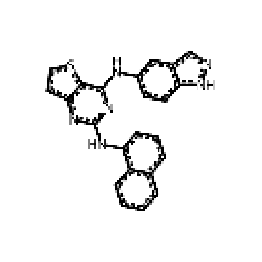 c1ccc2c(Nc3nc(Nc4ccc5[nH]ncc5c4)c4sccc4n3)cccc2c1